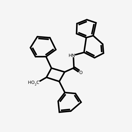 O=C(O)C1C(c2ccccc2)C(C(=O)Nc2cccc3ccccc23)C1c1ccccc1